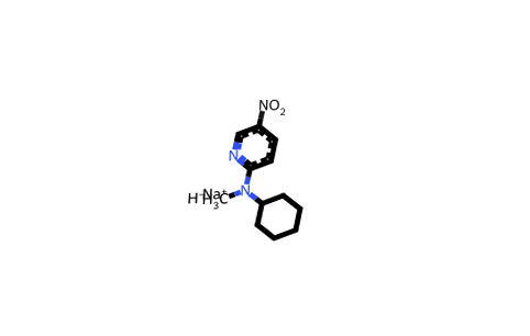 CN(c1ccc([N+](=O)[O-])cn1)C1CCCCC1.[H-].[Na+]